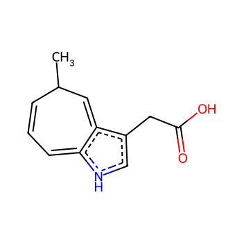 CC1C=CC=c2[nH]cc(CC(=O)O)c2=C1